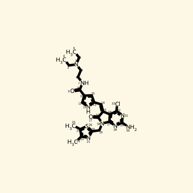 CCN(CC)CCNC(=O)c1c[nH]c(/C=C2\C(=O)N(Cc3nc(C)c(C)s3)c3nc(N)nc(Cl)c32)c1